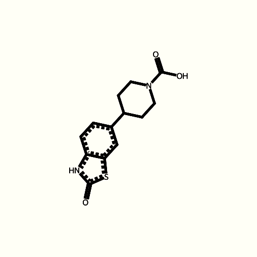 O=C(O)N1CCC(c2ccc3[nH]c(=O)sc3c2)CC1